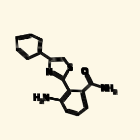 NC(=O)c1cccc(N)c1-c1nc(-c2ccccc2)cs1